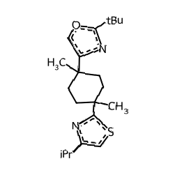 CC(C)c1csc(C2(C)CCC(C)(c3coc(C(C)(C)C)n3)CC2)n1